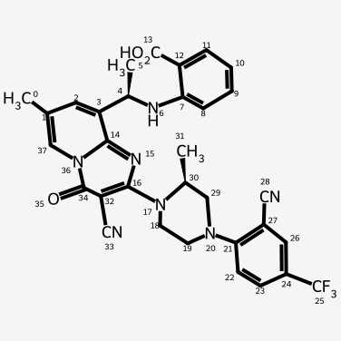 Cc1cc([C@@H](C)Nc2ccccc2C(=O)O)c2nc(N3CCN(c4ccc(C(F)(F)F)cc4C#N)C[C@@H]3C)c(C#N)c(=O)n2c1